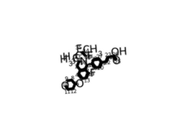 C[C@H]1Cc2cc(OC3CCOCC3)ccc2[C@H](c2c(F)cc(/C=C/C(=O)O)cc2F)N1CC(C)(C)F